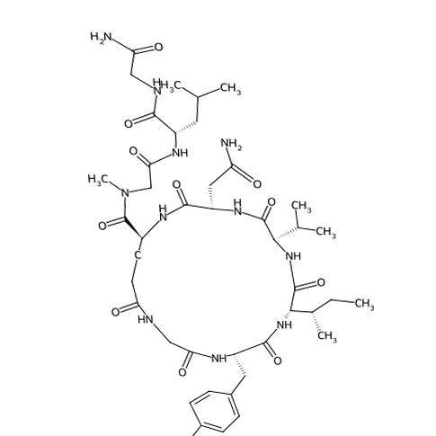 CC[C@H](C)[C@@H]1NC(=O)[C@H](Cc2ccc(O)cc2)NC(=O)CNC(=O)CC[C@@H](C(=O)N(C)CC(=O)N[C@@H](CC(C)C)C(=O)NCC(N)=O)NC(=O)[C@H](CC(N)=O)NC(=O)[C@H](C(C)C)NC1=O